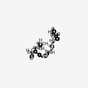 CCN(c1cc(-c2ccc(CN3CCN(CC(=O)NCCN4CCN(CCNc5cccc6c5C(=O)N(C5CCC(=O)NC5=O)C6=O)CC4)CC3)cc2)cc(C(=O)NCc2c(C)cc(C)[nH]c2=O)c1C)C1CCOCC1